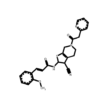 COc1ccccc1/C=C/C(=O)NC1SC2=C(CCN(C(=O)Cc3ccccn3)C2)C1C#N